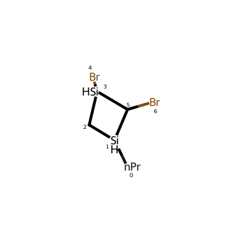 CCC[SiH]1C[SiH](Br)C1Br